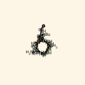 CC[C@H](C)C1NC(=O)[C@@H](CCCNC(=N)N)NC(=O)[C@H](CC(C)C)NC(=O)[C@H]([C@H](O)C(C)C)NC(=O)[C@@H](NC(=O)[C@H](CC(C)C)NC(=O)[C@@H](CCCNC(=O)OCc2ccccc2)NC(=O)OC(C)(C)C)[C@@H](c2ccccc2)OC(=O)[C@H](CO)NC(=O)[C@H]([C@H](O)C(N)=O)NC(=O)CNC(=O)C([C@H](C)O)NC1=O